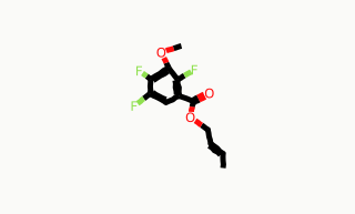 C/C=C/COC(=O)c1cc(F)c(F)c(OC)c1F